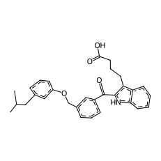 CC(C)Cc1cccc(OCc2cccc(C(=O)c3[nH]c4ccccc4c3CCCC(=O)O)c2)c1